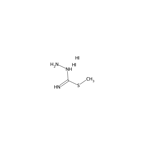 CSC(=N)NN.I.I